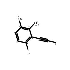 CC#Cc1c(F)ccc(C#N)c1C(F)(F)F